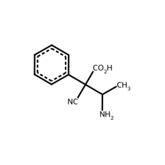 CC(N)C(C#N)(C(=O)O)c1ccccc1